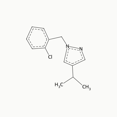 CC(C)c1cnn(Cc2ccccc2Cl)c1